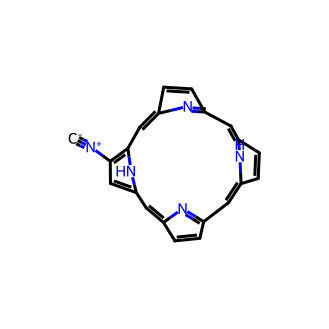 [C-]#[N+]c1cc2cc3nc(cc4ccc(cc5nc(cc1[nH]2)C=C5)[nH]4)C=C3